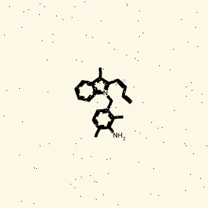 C=C/C=C\c1c(C)c2ccccc2n1Cc1ccc(C)c(N)c1C